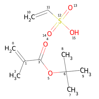 C=C(C)C(=O)OC(C)(C)C.C=CS(=O)(=O)O